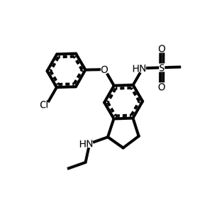 CCNC1CCc2cc(NS(C)(=O)=O)c(Oc3cccc(Cl)c3)cc21